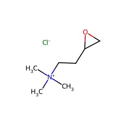 C[N+](C)(C)CCC1CO1.[Cl-]